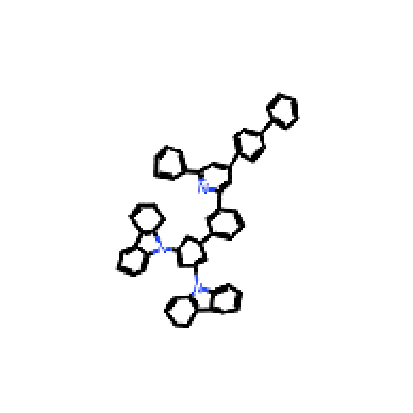 C1=Cc2c(c3ccccc3n2C2=CC(c3cccc(-c4cc(-c5ccc(-c6ccccc6)cc5)cc(-c5ccccc5)n4)c3)CC(n3c4c(c5ccccc53)C=CCC4)=C2)CC1